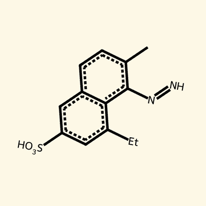 CCc1cc(S(=O)(=O)O)cc2ccc(C)c(N=N)c12